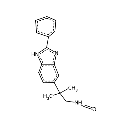 CC(C)(CNC=O)c1ccc2[nH]c(-c3ccccc3)nc2c1